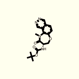 CN1C(=O)[C@@H](NC(=O)OC(C)(C)C)COc2ccc3cnncc3c21